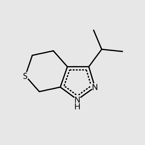 CC(C)c1n[nH]c2c1CCSC2